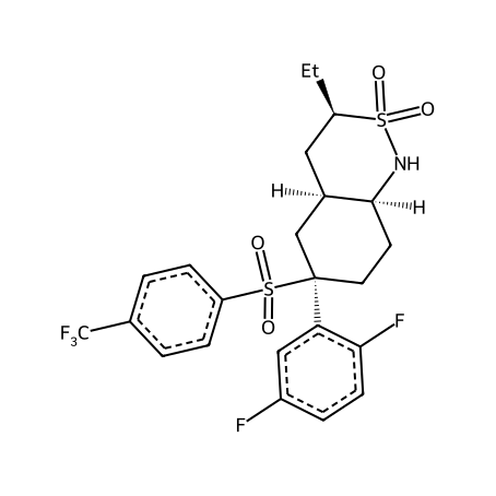 CC[C@@H]1C[C@@H]2C[C@](c3cc(F)ccc3F)(S(=O)(=O)c3ccc(C(F)(F)F)cc3)CC[C@@H]2NS1(=O)=O